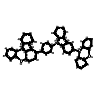 c1ccc2c(c1)Oc1ccccc1N2c1ccc2c(c1)c1ccccc1n2-c1ccc(-c2ccc3c4c2c2ccccc2n4-c2ccccc2O3)cc1